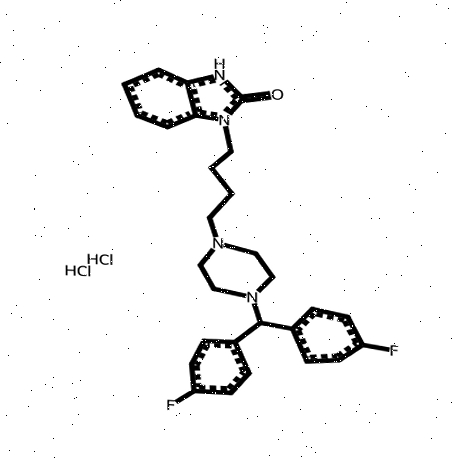 Cl.Cl.O=c1[nH]c2ccccc2n1CCCCN1CCN(C(c2ccc(F)cc2)c2ccc(F)cc2)CC1